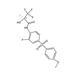 CSc1ccc(S(=O)(=O)c2ccc(NC(=O)[C@@](C)(O)C(F)(F)F)c(F)c2)cc1